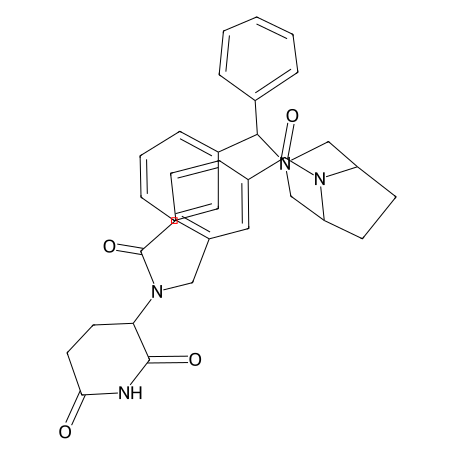 O=C1CCC(N2Cc3cc(C(=O)N4C5CCC4CN(C(c4ccccc4)c4ccccc4)C5)ccc3C2=O)C(=O)N1